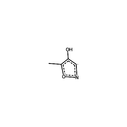 Cc1on[c]c1O